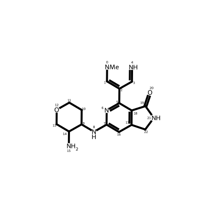 CN/C=C(\C=N)c1nc(NC2CCOCC2N)cc2c1C(=O)NC2